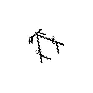 CCCCCCC(CCCC)COC(=O)CCCCCCCCC(CCCCCCCCC(=O)OCC(CCCC)CCCCCC)N(CCCn1ccnc1)CC(CC)CCCC